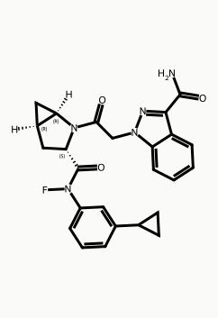 NC(=O)c1nn(CC(=O)N2[C@@H]3C[C@@H]3C[C@H]2C(=O)N(F)c2cccc(C3CC3)c2)c2ccccc12